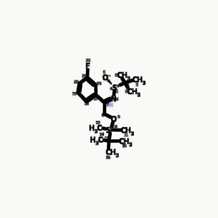 CC(C)(C)[S@@+]([O-])/N=C(/CO[Si](C)(C)C(C)(C)C)c1cccc(F)c1